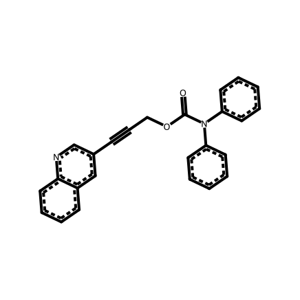 O=C(OCC#Cc1cnc2ccccc2c1)N(c1ccccc1)c1ccccc1